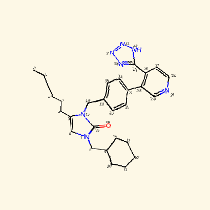 CCCCCc1cn(CC2CCCCC2)c(=O)n1Cc1ccc(-c2cnccc2-c2nnn[nH]2)cc1